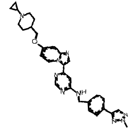 Cn1ncc(-c2ccc(CNc3cc(-c4cnc5cc(OCC6CCN(C7CC7)CC6)ccn45)ncn3)cc2)n1